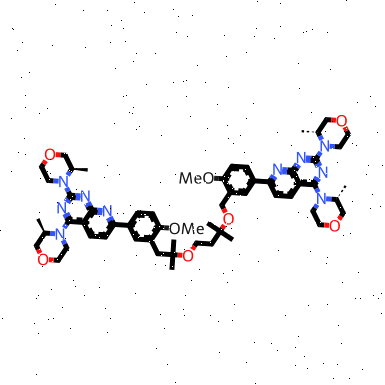 COc1ccc(-c2ccc3c(N4CCOC[C@H]4C)nc(N4CCOC[C@H]4C)nc3n2)cc1COC(C)(C)CCOC(C)(C)Cc1cc(-c2ccc3c(N4CCOC[C@H]4C)nc(N4CCOC[C@H]4C)nc3n2)ccc1OC